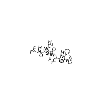 Cc1nc(C(=O)NCC(F)F)sc1C(=O)NC[C@H](C(=O)N[C@@H]1C(=O)N2CCCN2Cc2ccccc21)C(F)(F)F